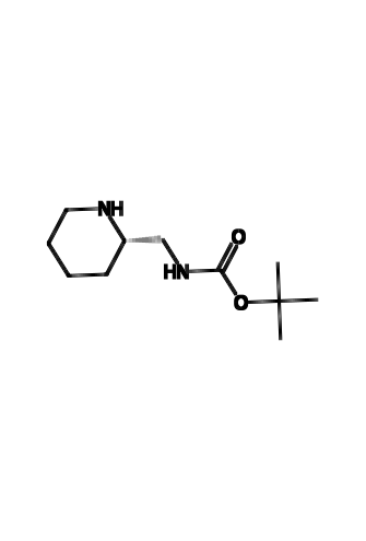 CC(C)(C)OC(=O)NC[C@@H]1CCCCN1